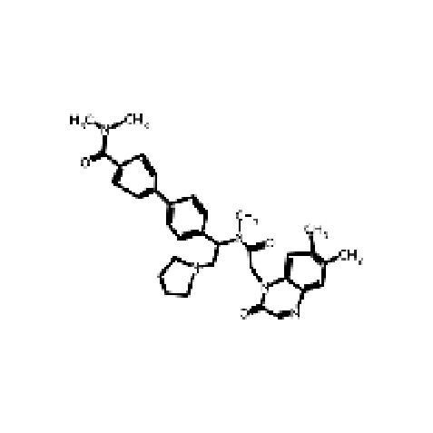 Cc1cc2ncc(=O)n(CC(=O)N(C)C(CN3CCCC3)c3ccc(-c4ccc(C(=O)N(C)C)cc4)cc3)c2cc1C